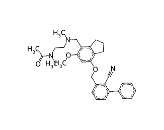 COc1cc(OCc2cccc(-c3ccccc3)c2C#N)c2c(c1CN(C)CCN(C)C(C)=O)CCC2